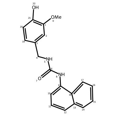 COc1cc(CNC(=O)Nc2cccc3ccccc23)ccc1O